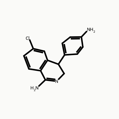 NC1=NCC(c2ccc(N)cc2)c2cc(Cl)ccc21